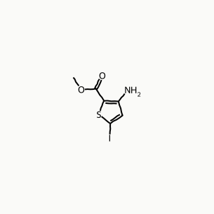 COC(=O)c1sc(I)cc1N